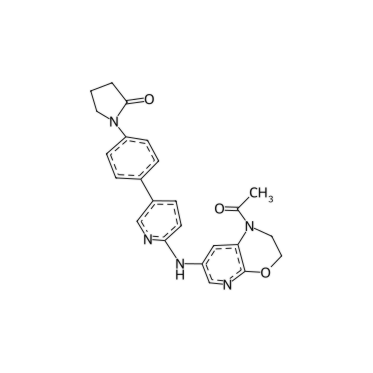 CC(=O)N1CCOc2ncc(Nc3ccc(-c4ccc(N5CCCC5=O)cc4)cn3)cc21